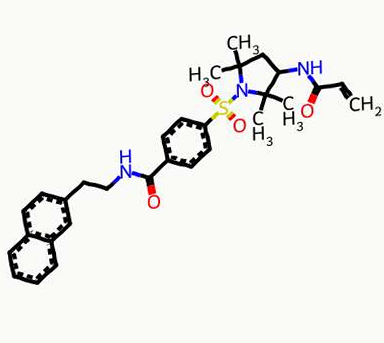 C=CC(=O)NC1CC(C)(C)N(S(=O)(=O)c2ccc(C(=O)NCCc3ccc4ccccc4c3)cc2)C1(C)C